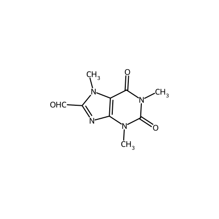 Cn1c(=O)c2c(nc(C=O)n2C)n(C)c1=O